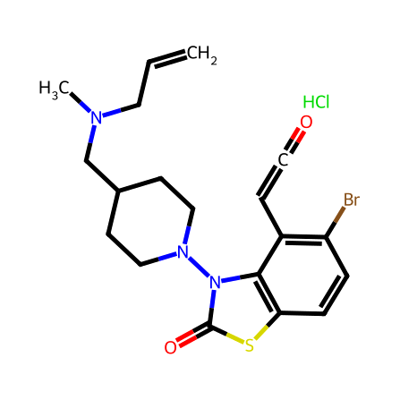 C=CCN(C)CC1CCN(n2c(=O)sc3ccc(Br)c(C=C=O)c32)CC1.Cl